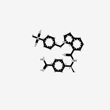 C[C@H](NC(=O)c1cccc2ccn(Cc3ccc(S(C)(=O)=O)cc3)c12)c1ccc(C(=O)O)cc1